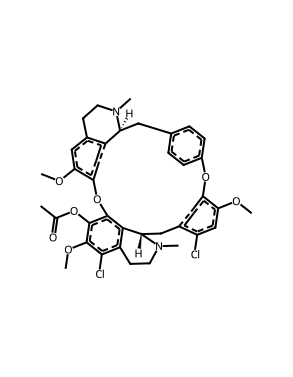 COc1cc(Cl)c2cc1Oc1ccc(cc1)C[C@H]1c3cc(c(OC)cc3CCN1C)Oc1c(OC(C)=O)c(OC)c(Cl)c3c1[C@H](C2)N(C)CC3